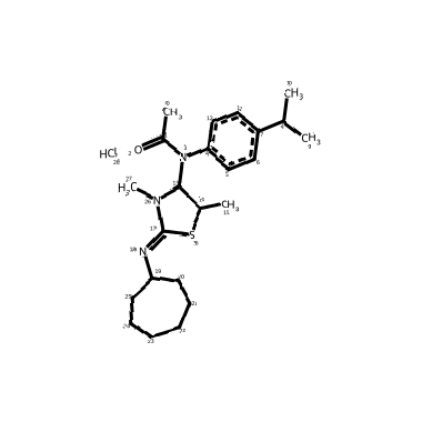 CC(=O)N(c1ccc(C(C)C)cc1)C1C(C)SC(=NC2CCCCCC2)N1C.Cl